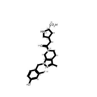 Cc1nn(Cc2ccc(Cl)cc2F)c2c1CCN(C(=O)CC1CN[C@H](C(=O)O)C1)C2